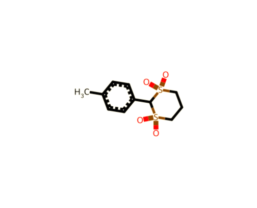 Cc1ccc(C2S(=O)(=O)CCCS2(=O)=O)cc1